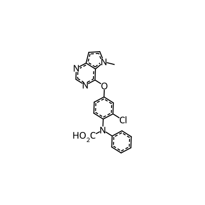 Cn1ccc2ncnc(Oc3ccc(N(C(=O)O)c4ccccc4)c(Cl)c3)c21